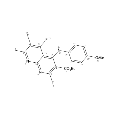 CCOC(=O)c1c(F)nc2nc(C)c(F)c(F)c2c1Nc1ccc(OC)cc1